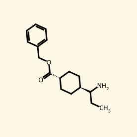 CCC(N)[C@H]1CC[C@H](C(=O)OCc2ccccc2)CC1